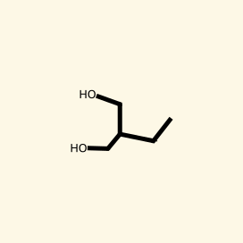 C[CH]C(CO)CO